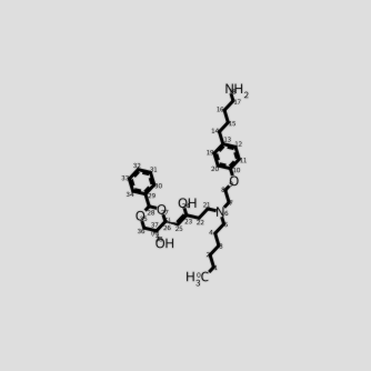 CCCCCCN(CCOc1ccc(CCCCN)cc1)CCC(O)=C[C@@H]1OC(c2ccccc2)OC[C@H]1O